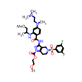 CCOCCOC(=O)n1nc(NC(=O)c2ccc(N(C)CCN(C)C)cc2NC(C)COC)c2c1CCN(S(=O)(=O)c1cc(F)cc(F)c1)C2